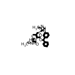 CON[C@@H]1C(=O)N2C(C(=O)OC(c3ccccc3)c3ccccc3)=C(CSc3nnnn3C)CS[C@H]12